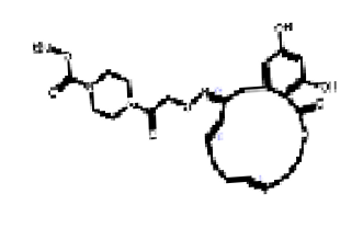 CC(C)(C)OC(=O)N1CCN(C(=O)CO/N=C2\C=C\CC/C=C/CCOC(=O)c3c(O)cc(O)cc3C2)CC1